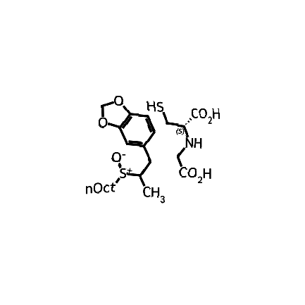 CCCCCCCC[S+]([O-])C(C)Cc1ccc2c(c1)OCO2.O=C(O)CN[C@H](CS)C(=O)O